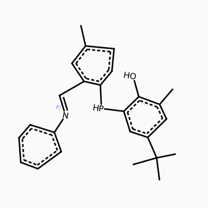 Cc1ccc(Pc2cc(C(C)(C)C)cc(C)c2O)c(/C=N/c2ccccc2)c1